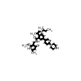 CC[C@H](C)n1cc(C)c2c(C(=O)NCc3c(OC)[nH]c(C)cc3=O)cc(-c3ccc(N4CCNCC4)nc3)cc21